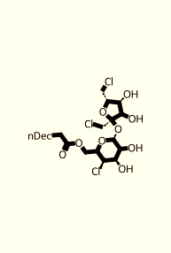 CCCCCCCCCCCC(=O)OCC1O[C@H](O[C@@]2(CCl)O[C@H](CCl)[C@H](O)C2O)C(O)[C@@H](O)[C@H]1Cl